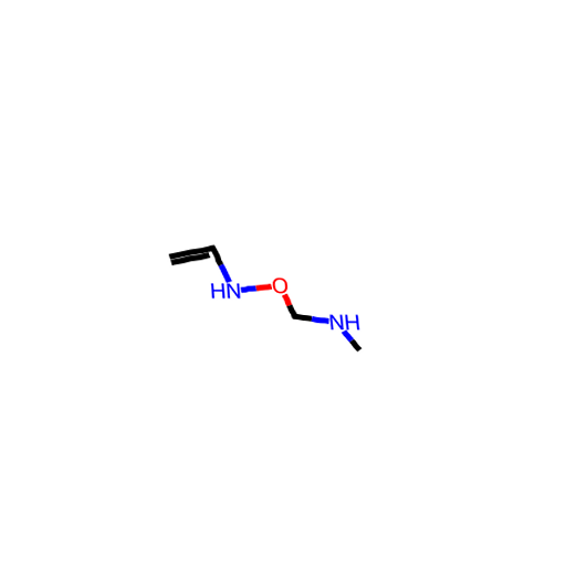 C=CNOCNC